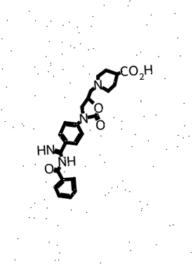 N=C(NC(=O)c1ccccc1)c1ccc(N2CC(CN3CCC(C(=O)O)CC3)OC2=O)cc1